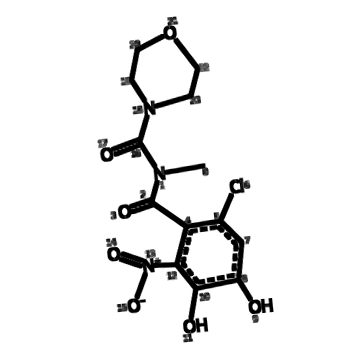 CN(C(=O)c1c(Cl)cc(O)c(O)c1[N+](=O)[O-])C(=O)N1CCOCC1